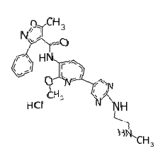 CNCCNc1ncc(-c2ccc(NC(=O)c3c(-c4ccccc4)noc3C)c(OC)n2)cn1.Cl